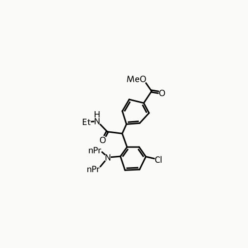 CCCN(CCC)c1ccc(Cl)cc1C(C(=O)NCC)c1ccc(C(=O)OC)cc1